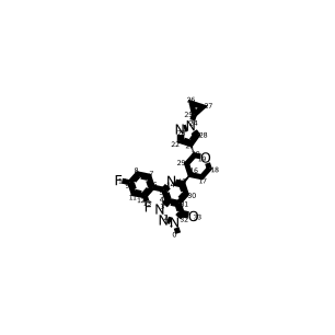 Cn1nnc2c(-c3ccc(F)cc3F)nc([C@@H]3CCO[C@@H](c4cnn(C5CC5)c4)C3)cc2c1=O